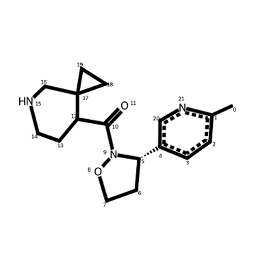 Cc1ccc([C@@H]2CCON2C(=O)C2CCNCC23CC3)cn1